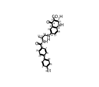 CCc1ccc(-c2ccc(C(=O)N[C@@H](C)CNc3ccc4[nH]cc(C(=O)O)c(=O)c4c3)cc2)cc1